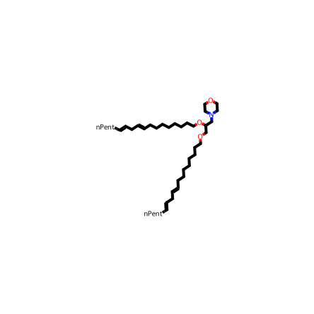 CCCCCC=CCC=CCCCCCCCCOCC(CN1CCOCC1)OCCCCCCCCC=CCC=CCCCCC